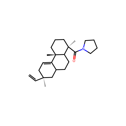 C=C[C@@]1(C)CC=C2C(CCC3[C@](C)(C(=O)N4CCCC4)CCC[C@@]23C)C1